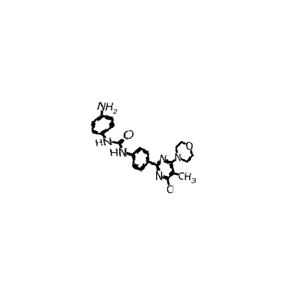 Cc1c(Cl)nc(-c2ccc(NC(=O)Nc3ccc(N)cc3)cc2)nc1N1CCOCC1